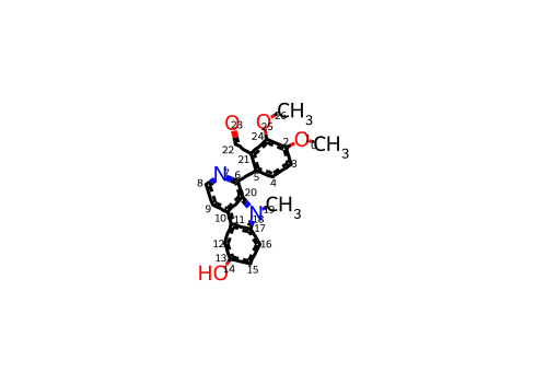 COc1ccc(-c2nccc3c4cc(O)ccc4n(C)c23)c(C=O)c1OC